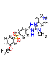 C/N=C(\NCc1ccc(S(=O)(=O)c2cccc(OC(F)(F)F)c2)cc1)Nc1ccncc1